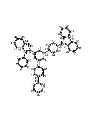 c1ccc(-n2c(-c3cc(-c4ccc(-c5ccccn5)cc4)cc(-c4ccc(-n5c6ccccc6c6ccccc65)cc4)c3)nc3ccccc32)cc1